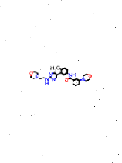 Cc1ccc(NC(=O)c2cccc(N3CCOCC3)c2)cc1-c1cnc(NCCN2CCOCC2)nc1